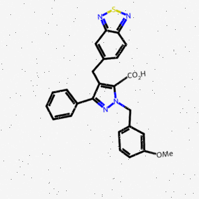 COc1cccc(Cn2nc(-c3ccccc3)c(Cc3ccc4nsnc4c3)c2C(=O)O)c1